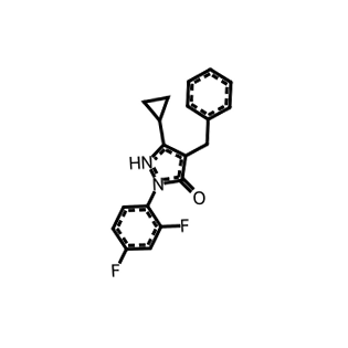 O=c1c(Cc2ccccc2)c(C2CC2)[nH]n1-c1ccc(F)cc1F